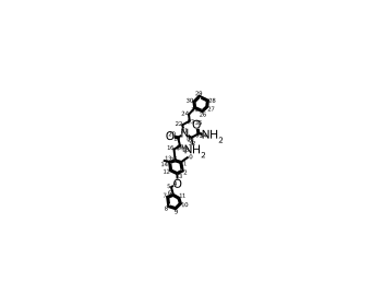 Cc1cc(OCc2ccccc2)cc(C)c1C[C@@H](N)C(=O)N(CCCc1ccccc1)[C@H](C)C(N)=O